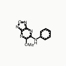 COc1nc2nonc2nc1Nc1ccccc1